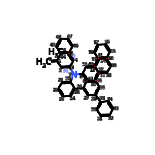 C=C(/C=C(\C=C/C)N(c1cccc(-c2ccccc2)c1)c1ccccc1-c1cc(-c2ccccc2)cc(-c2ccccc2)c1)c1ccccc1